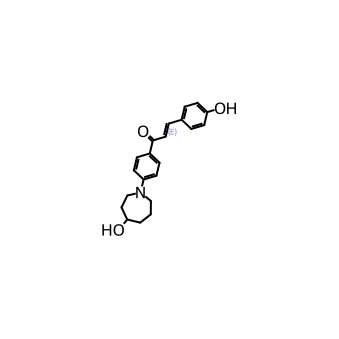 O=C(/C=C/c1ccc(O)cc1)c1ccc(N2CCCC(O)CC2)cc1